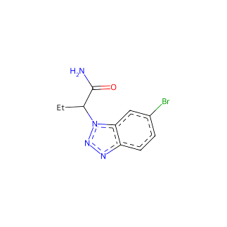 CCC(C(N)=O)n1nnc2ccc(Br)cc21